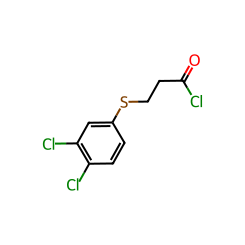 O=C(Cl)CCSc1ccc(Cl)c(Cl)c1